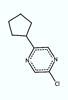 Clc1cnc(C2CCCC2)cn1